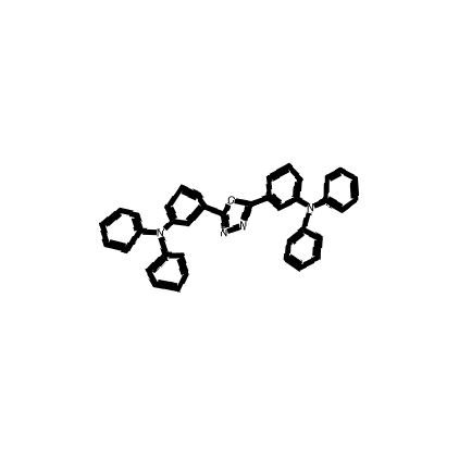 c1ccc(N(c2ccccc2)c2cccc(-c3nnc(-c4cccc(N(c5ccccc5)c5ccccc5)c4)o3)c2)cc1